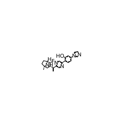 C=C(c1cnc(-c2ccc(-n3ccnc3)cc2O)cn1)[C@H]1C[C@]2(C)CC[C@@H](N2)[C@H]1F